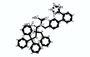 CCCCC(=O)N(Cc1ccc(-c2ccccc2-c2nnn[nH]2)cc1)[C@H](C(=O)O)C(C)(Cc1ccccc1)CC(c1ccccc1)(c1ccccc1)c1ccccc1